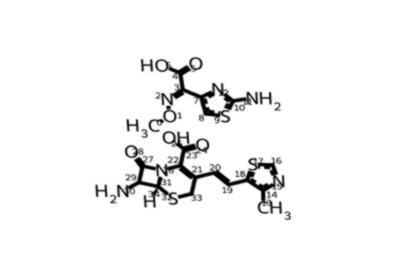 CO/N=C(/C(=O)O)c1csc(N)n1.Cc1ncsc1/C=C/C1=C(C(=O)O)N2C(=O)C(N)[C@H]2SC1